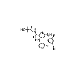 COc1cccc(Nc2cc(Nc3ncc(C#N)cc3F)ncc2C(=O)NCC(F)C(C)(C)O)c1